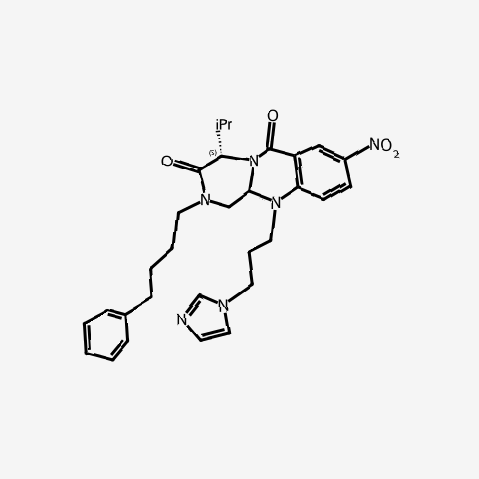 CC(C)[C@H]1C(=O)N(CCCCc2ccccc2)CC2N(CCCn3ccnc3)c3ccc([N+](=O)[O-])cc3C(=O)N21